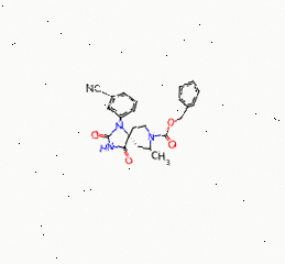 C[C@H]1C[C@]2(CCN1C(=O)OCc1ccccc1)C(=O)NC(=O)N2c1cccc(C#N)c1